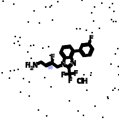 Cl.NC/C=C(\F)Cn1c(C(F)(F)F)nc2c(-c3cccc(F)c3)cccc21